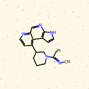 CC(C)/C(=N\C#N)N1CCCC(c2ccnc3cnc4[nH]ccc4c23)C1